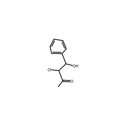 CC(=O)C(Cl)C(O)c1ccccc1